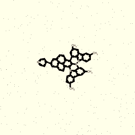 Cc1ccc2c(c1)c1cc(C)cc3c1n2B1c2c-3c3ccc4cc(-c5ccncc5)cc5ccc(c2-n2c6ccc(C)cc6c6cc(C)cc1c62)c3c45